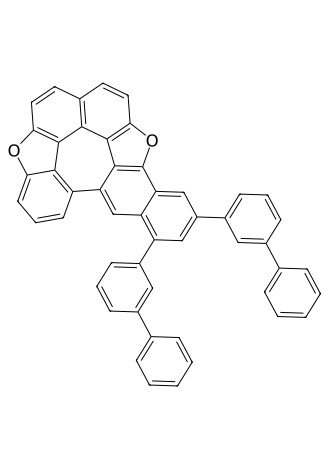 c1ccc(-c2cccc(-c3cc(-c4cccc(-c5ccccc5)c4)c4cc5c6c(oc7ccc8ccc9oc%10cccc-5c%10c9c8c76)c4c3)c2)cc1